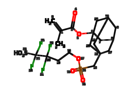 C=C(C)C(=O)OC12CC3CC(CC(CS(=O)(=O)OCCC(F)(F)C(F)(F)S(=O)(=O)O)(C3)C1)C2